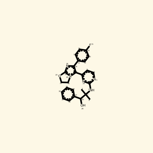 CC(C)(Nc1nccc(-c2c(-c3ccc(F)cc3)nc3n2CCO3)n1)C(O)c1ccccc1